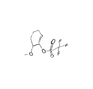 COC1CCCC=C1OS(=O)(=O)C(F)(F)F